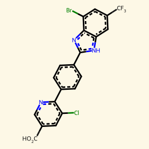 O=C(O)c1cnc(-c2ccc(-c3nc4c(Br)cc(C(F)(F)F)cc4[nH]3)cc2)c(Cl)c1